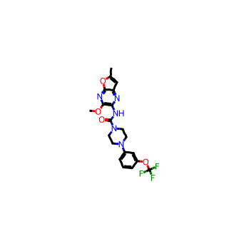 COc1nc2oc(C)cc2nc1NC(=O)N1CCN(c2cccc(OC(F)(F)F)c2)CC1